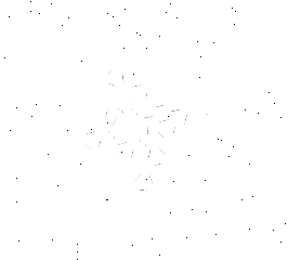 Cc1ccc(N2c3cccc(c3)N(c3cccc4c3sc3ccccc34)c3cc(c4ccc5cc(C(C)(C)C)cc6ccc3c4c65)N(c3cccc4c3sc3ccccc34)c3cccc2c3)cc1